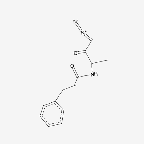 CC(NC(=O)[CH]Cc1ccccc1)C(=O)C=[N+]=[N-]